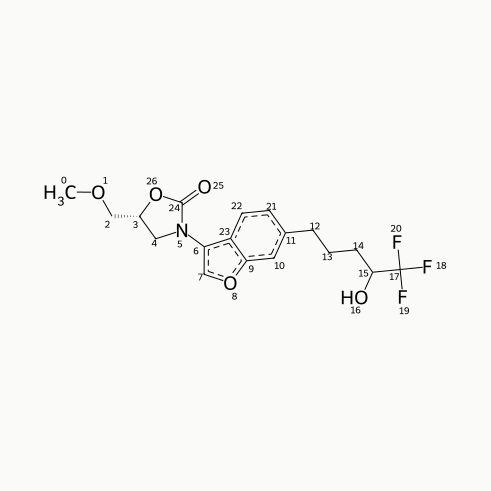 COC[C@H]1CN(c2coc3cc(CCCC(O)C(F)(F)F)ccc23)C(=O)O1